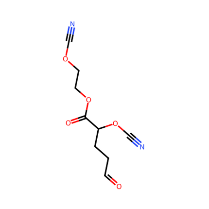 N#COCCOC(=O)C(CCC=O)OC#N